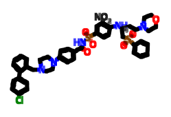 O=C(NS(=O)(=O)c1ccc(N[C@H](CCN2CCOCC2)CS(=O)(=O)c2ccccc2)c([N+](=O)[O-])c1)c1ccc(N2CCN(Cc3ccccc3-c3ccc(Cl)cc3)CC2)cc1